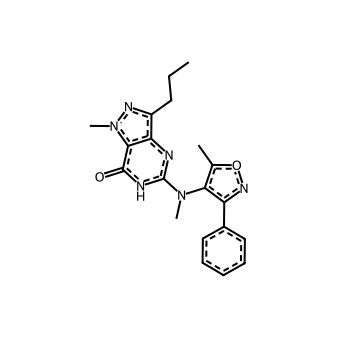 CCCc1nn(C)c2c(=O)[nH]c(N(C)c3c(-c4ccccc4)noc3C)nc12